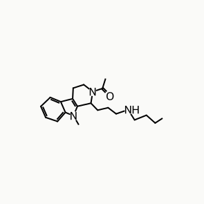 CCCCNCCCC1c2c(c3ccccc3n2C)CCN1C(C)=O